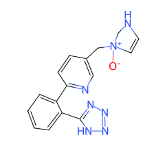 [O-][N+]1(Cc2ccc(-c3ccccc3-c3nnn[nH]3)nc2)C=CNC1